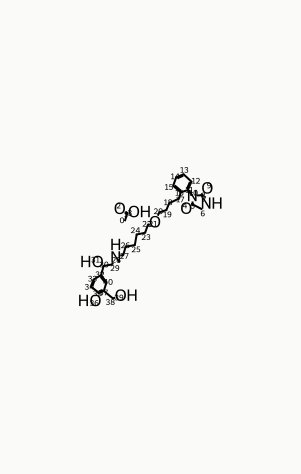 CC(=O)O.O=C1CNC(=O)N1c1ccccc1CCCCOCCCCCCNC[C@H](O)c1ccc(O)c(CO)c1